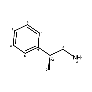 C[C@H](C[NH])c1ccccc1